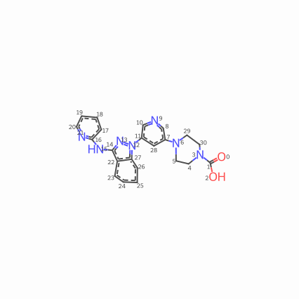 O=C(O)N1CCN(c2cncc(-n3nc(Nc4ccccn4)c4ccccc43)c2)CC1